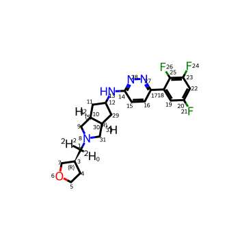 [2H]C([2H])([C@H]1CCOC1)N1C[C@H]2CC(Nc3ccc(-c4cc(F)cc(F)c4F)nn3)C[C@H]2C1